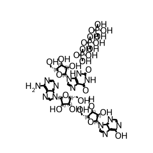 Nc1ncnc2c1ncn2[C@@H]1O[C@H](CO)[C@@H](O)[C@H]1O.O=P(O)(O)O.O=P(O)(O)O.O=P(O)(O)O.O=c1[nH]c(=O)c2ncn([C@@H]3O[C@H](CO)[C@@H](O)[C@H]3O)c2[nH]1.OC[C@H]1O[C@@H](n2cnc3c(O)ncnc32)[C@H](O)[C@@H]1O